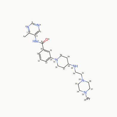 Cc1ncncc1NC(=O)c1cccc(N2CCC(NCCN3CCN(C(C)C)CC3)CC2)c1